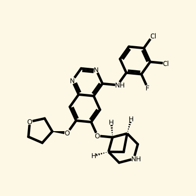 Fc1c(Nc2ncnc3cc(O[C@H]4CCOC4)c(O[C@@H]4[C@@H]5CNC[C@H]4C5)cc23)ccc(Cl)c1Cl